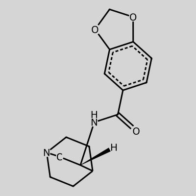 O=C(N[C@H]1CN2CCC1CC2)c1ccc2c(c1)OCO2